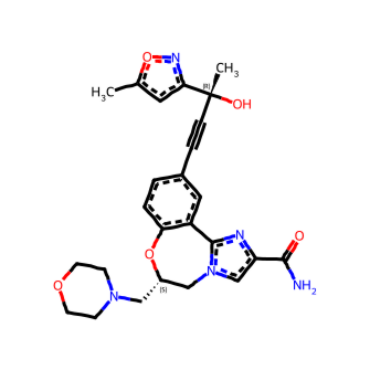 Cc1cc([C@](C)(O)C#Cc2ccc3c(c2)-c2nc(C(N)=O)cn2C[C@H](CN2CCOCC2)O3)no1